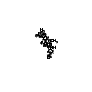 COc1nc(NC2CCN(C3COC3)CC2)nn2cc(F)c(-c3ccc4nc(C)n(CC(F)F)c4c3)c12